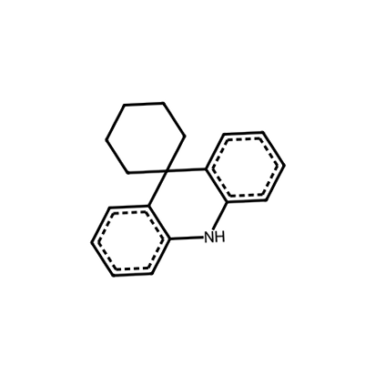 c1ccc2c(c1)Nc1ccccc1C21CCCCC1